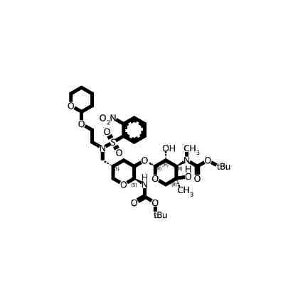 CN(C(=O)OC(C)(C)C)[C@@H]1[C@@H](O)[C@@H](O[C]2C[C@@H](CN(CCOC3CCCCO3)S(=O)(=O)c3ccccc3[N+](=O)[O-])CO[C@@H]2NC(=O)OC(C)(C)C)OC[C@]1(C)O